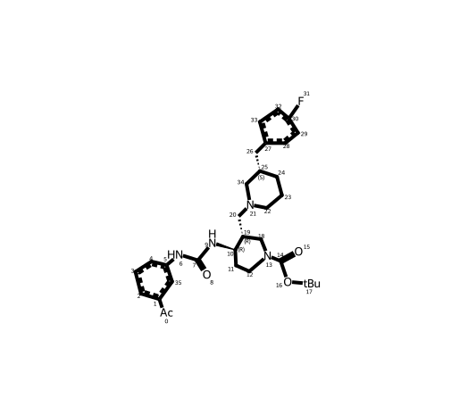 CC(=O)c1cccc(NC(=O)N[C@@H]2CCN(C(=O)OC(C)(C)C)C[C@H]2CN2CCC[C@@H](Cc3ccc(F)cc3)C2)c1